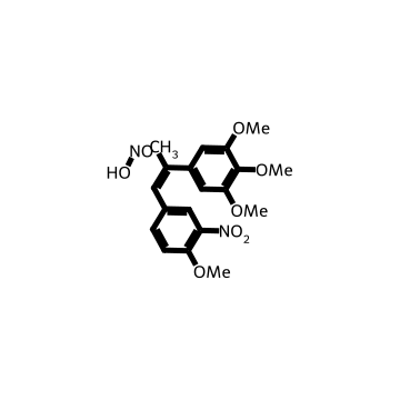 COc1ccc(C=C(C)c2cc(OC)c(OC)c(OC)c2)cc1[N+](=O)[O-].O=NO